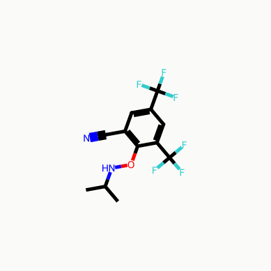 CC(C)NOc1c(C#N)cc(C(F)(F)F)cc1C(F)(F)F